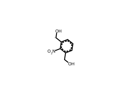 O=[N+]([O-])c1c([CH]O)cccc1CO